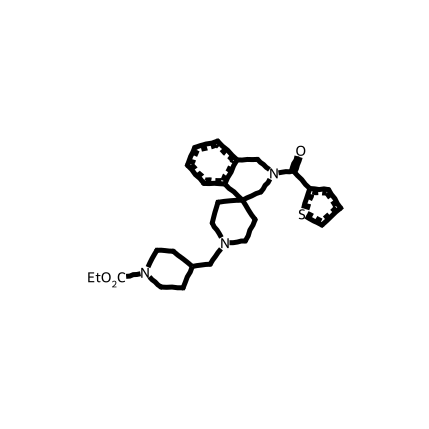 CCOC(=O)N1CCC(CN2CCC3(CC2)CN(C(=O)c2cccs2)Cc2ccccc23)CC1